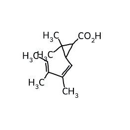 CC=C(C)C(C)=CC1C(C(=O)O)C1(C)C